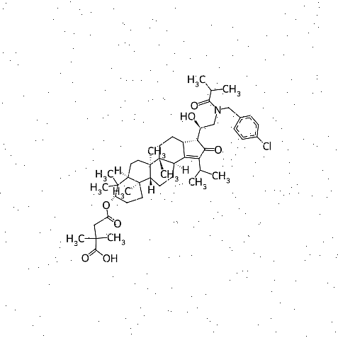 CC(C)C(=O)N(Cc1ccc(Cl)cc1)C[C@H](O)[C@@H]1C(=O)C(C(C)C)=C2C1CC[C@]1(C)[C@@H]2CC[C@@H]2[C@@]3(C)CC[C@H](OC(=O)CC(C)(C)C(=O)O)C(C)(C)[C@H]3CC[C@]21C